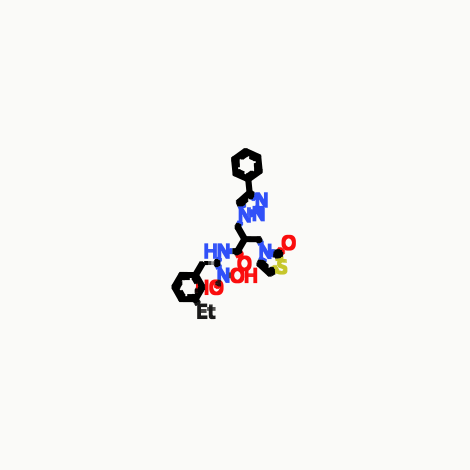 CCc1cccc(C[C@H](NC(=O)C(Cn2cc(-c3ccccc3)nn2)Cn2ccsc2=O)N(O)O)c1